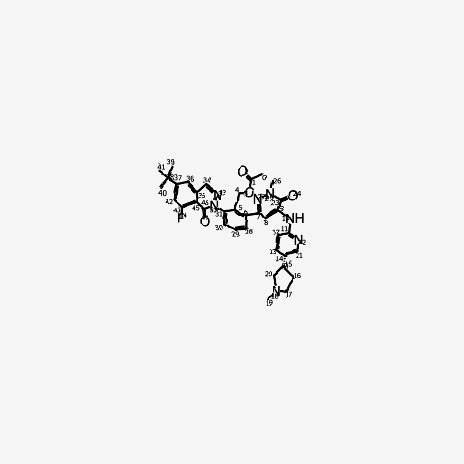 CC(=O)OCc1c(-c2cc(Nc3ccc([C@@H]4CCN(C)C4)cn3)c(=O)n(C)n2)cccc1-n1ncc2cc(C(C)(C)C)cc(F)c2c1=O